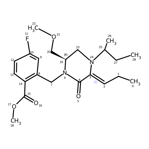 CC/C=C1/C(=O)N(Cc2cc(F)ccc2C(=O)OC)[C@@H](COC)CN1C(C)CC